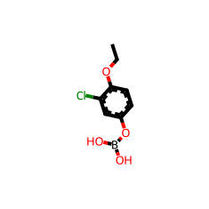 CCOc1ccc(OB(O)O)cc1Cl